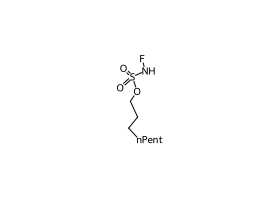 CCCCCCCCOS(=O)(=O)NF